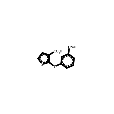 COc1cccc(Sc2sccc2C(=O)O)c1